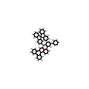 c1ccc(-c2ccc(N(c3ccc4c(c3)C3(c5ccccc5-c5ccccc53)c3ccccc3-4)c3ccc4c5ccccc5c5ccccc5c4c3)c(-c3ccccc3)c2)cc1